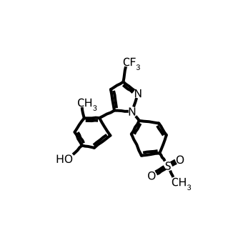 Cc1cc(O)ccc1-c1cc(C(F)(F)F)nn1-c1ccc(S(C)(=O)=O)cc1